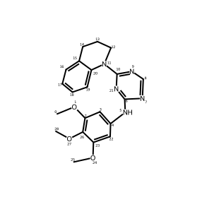 COc1cc(Nc2ncnc(N3CCCc4ccccc43)n2)cc(OC)c1OC